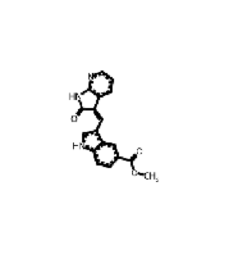 COC(=O)c1ccc2[nH]cc(C=C3C(=O)Nc4ncccc43)c2c1